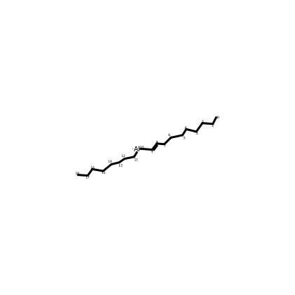 CCCCCCCCC=[CH][Al][CH2]CCCCCCC